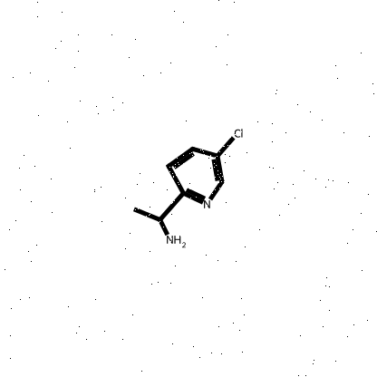 CC(N)c1ccc(Cl)cn1